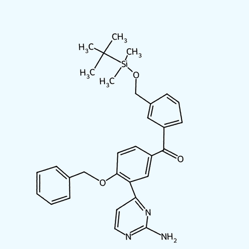 CC(C)(C)[Si](C)(C)OCc1cccc(C(=O)c2ccc(OCc3ccccc3)c(-c3ccnc(N)n3)c2)c1